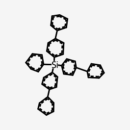 c1ccc(-c2ccc([Si](c3ccccc3)(c3ccc(-c4ccccc4)cc3)c3ccc(-c4ccccc4)cc3)cc2)cc1